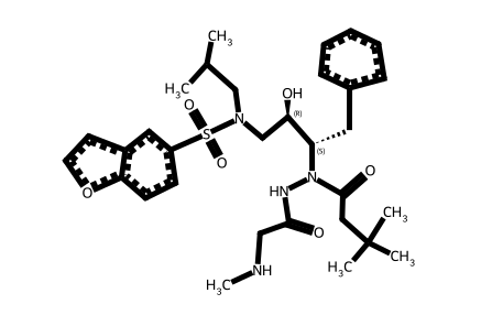 CNCC(=O)NN(C(=O)CC(C)(C)C)[C@@H](Cc1ccccc1)[C@H](O)CN(CC(C)C)S(=O)(=O)c1ccc2occc2c1